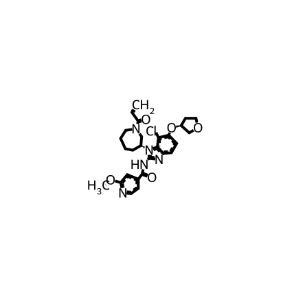 C=CC(=O)N1CCCC[C@@H](n2c(NC(=O)c3ccnc(OC)c3)nc3ccc(O[C@H]4CCOC4)c(Cl)c32)C1